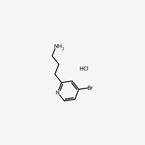 Cl.NCCCc1cc(Br)ccn1